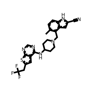 Cc1ccc2[nH]c(C#N)cc2c1CN1CCC(Nc2ncnc3sc(CC(F)(F)F)cc23)CC1